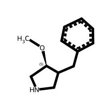 CO[C@@H]1CNCC1Cc1ccccc1